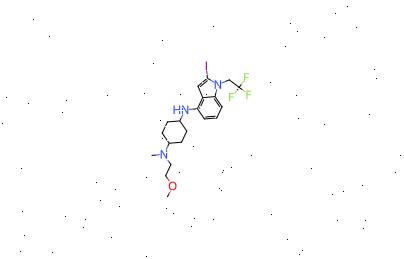 COCCN(C)C1CCC(Nc2cccc3c2cc(I)n3CC(F)(F)F)CC1